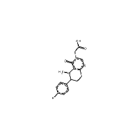 CN1c2c(ncn(CC(=O)O)c2=O)CCC1c1ccc(F)cc1